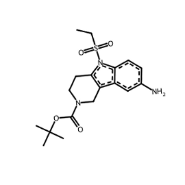 CCS(=O)(=O)n1c2c(c3cc(N)ccc31)CN(C(=O)OC(C)(C)C)CC2